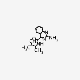 CC(C)C(C)NC(=O)c1nc(N)nc2ccccc12